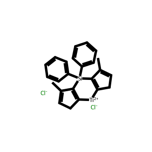 CC1=CC[C]2=C1[Si](c1ccccc1)(c1ccccc1)C1=[C](CC=C1C)[Ti+2]2.[Cl-].[Cl-]